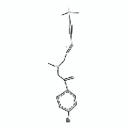 C=C(CN(C)C/C=C/C#CC(C)(C)C)c1ccc(Br)cc1